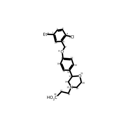 CCc1ccc(Cl)c(COc2ccc(C3CN(CCC(=O)O)CCO3)cc2)c1